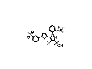 CC(C)(O)c1nn(-c2ccccc2OC(F)(F)F)c(-c2ccc(-c3cccc(S(C)(=O)=O)c3)s2)c1Br